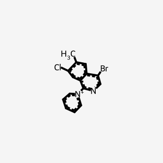 Cc1cc2c(Br)cnc(-[n+]3ccccc3)c2cc1Cl